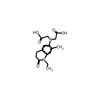 CCN1C(=O)CCc2cc(N(CC(=O)O)CC(=O)O)c(C)cc21